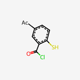 CC(=O)c1ccc(S)c(C(=O)Cl)c1